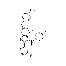 COc1ccc(CN2Cc3nc(-c4cccc(F)c4)c(Nc4ccc(C)cc4)n3C(C)(C)C2)cc1